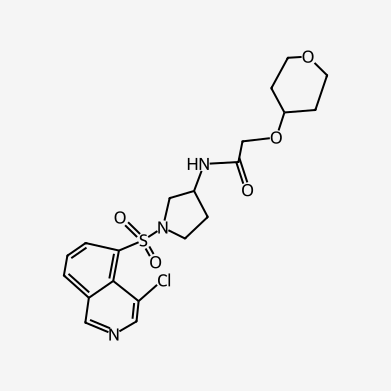 O=C(COC1CCOCC1)NC1CCN(S(=O)(=O)c2cccc3cncc(Cl)c23)C1